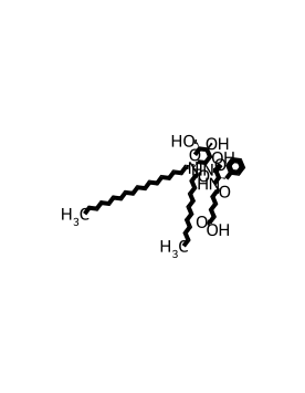 CCCCCCCCCCCCCCCCCCN(C(=O)CCCCCCCCCCC)[C@@H]1O[C@H](CO)[C@@H](O)[C@H](O)[C@H]1NC(=O)[C@H](Cc1ccccc1)NC(=O)CCCCC(=O)O